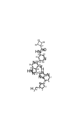 Cc1ccc(-c2ccnc3[nH]c(-c4n[nH]c5cnc(-c6cncc(NC(=O)C7CCC7)c6)c(F)c45)nc23)s1